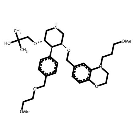 COCCCN1CCOc2ccc(CO[C@H]3CNC[C@@H](OCC(C)(C)O)[C@@H]3c3ccc(COCCOC)cc3)cc21